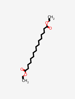 C=COC(=O)CCCCCCCCCCCCCCC(=O)OC=C